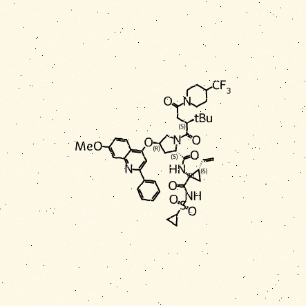 C=C[C@@H]1C[C@]1(NC(=O)[C@@H]1C[C@@H](Oc2cc(-c3ccccc3)nc3cc(OC)ccc23)CN1C(=O)[C@@H](CC(=O)N1CCC(C(F)(F)F)CC1)C(C)(C)C)C(=O)NS(=O)(=O)C1CC1